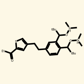 CCC(=O)c1cc(CCc2ccc(C(O[SiH](C)C)C(C)(C)C)c(C(O[SiH](C)C)C(C)(C)C)c2)cs1